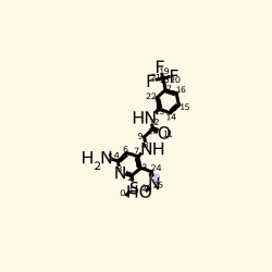 CSc1nc(N)cc(NCC(=O)Nc2cccc(C(F)(F)F)c2)c1/C=N\O